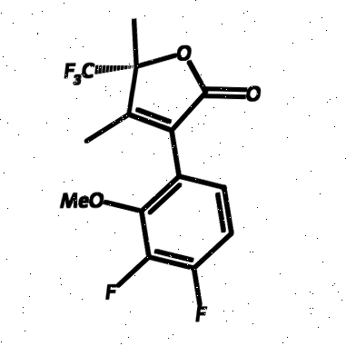 COc1c(C2=C(C)[C@](C)(C(F)(F)F)OC2=O)ccc(F)c1F